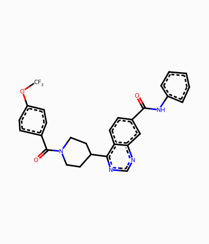 O=C(Nc1ccccc1)c1ccc2c(C3CCN(C(=O)c4ccc(OC(F)(F)F)cc4)CC3)ncnc2c1